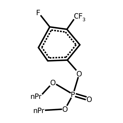 CCCOP(=O)(OCCC)Oc1ccc(F)c(C(F)(F)F)c1